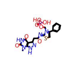 Cn1c(=O)[nH]c(=O)c2c(CC(=O)/N=c3\scc(-c4ccccc4)n3COP(=O)(O)O)n[nH]c21